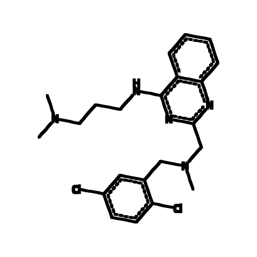 CN(C)CCCNc1nc(CN(C)Cc2cc(Cl)ccc2Cl)nc2ccccc12